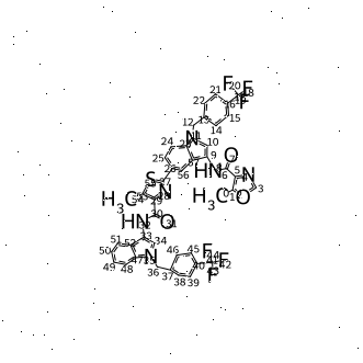 Cc1ocnc1C(=O)Nc1cn(Cc2ccc(C(F)(F)F)cc2)c2ccc(-c3nc(C(=O)Nc4cn(Cc5ccc(C(F)(F)F)cc5)c5ccccc45)c(C)s3)cc12